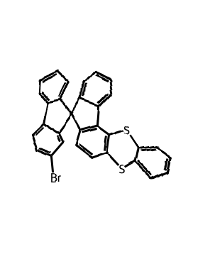 Brc1ccc2c(c1)C1(c3ccccc3-2)c2ccccc2-c2c1ccc1c2Sc2ccccc2S1